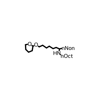 CCCCCCCCCC(CCCCCCOC1CCCCO1)NCCCCCCCC